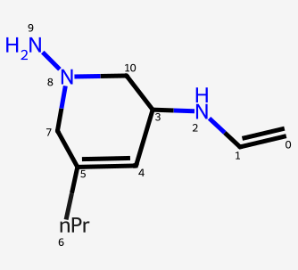 C=CNC1C=C(CCC)CN(N)C1